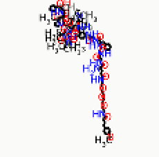 CC[C@H](C)[C@@H]([C@@H](CC(=O)N1CCC[C@H]1[C@H](OC)[C@@H](C)C(=O)N[C@H](C)[C@@H](O)c1ccccc1)OC)N(C)C(=O)[C@@H](NC(=O)[C@H](C(C)C)N(C)C(=O)OCc1ccc(NC(=O)CNC(=O)[C@H](Cc2ccccc2)NC(=O)CNC(=O)CNC(=O)[C@@H](N)CCC(=O)NCCOCCOCCOCCNC(=O)CCCc2ccc(OC)cc2)cc1C(=O)NCCCN(C)C)C(C)C